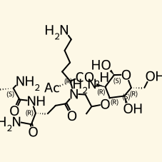 CC(=O)[C@](CCCCN)(C(=O)O)N(CC(C)O[C@@H]1[C@@H](N)[C@@H](O)O[C@H](CO)[C@H]1O)C(=O)CC[C@@H](NC(=O)[C@H](C)N)C(N)=O